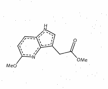 COC(=O)Cc1c[nH]c2ccc(OC)nc12